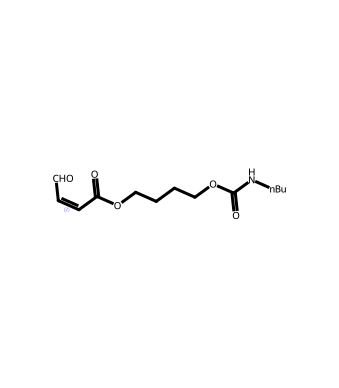 CCCCNC(=O)OCCCCOC(=O)/C=C\C=O